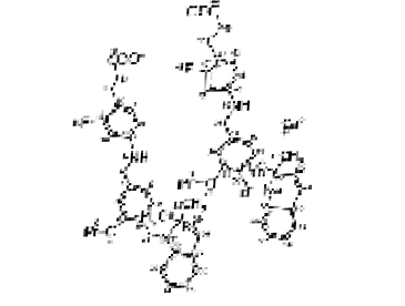 CC(C)Oc1cc(CNc2ccc(CCC(=O)[O-])c(F)c2)ccc1CN1c2ccccc2C=CC1(C)C.CC(C)Oc1cc(CNc2ccc(CCC(=O)[O-])c(F)c2)ccc1CN1c2ccccc2C=CC1(C)C.[Ca+2]